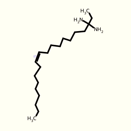 CCCCCCCC/C=C\CCCCCCCC(N)(N)CC